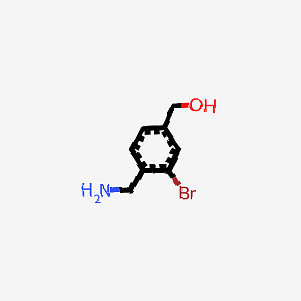 NCc1ccc(CO)cc1Br